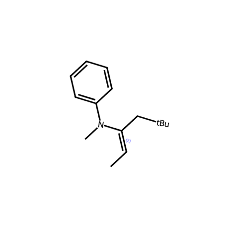 C/C=C(/CC(C)(C)C)N(C)c1ccccc1